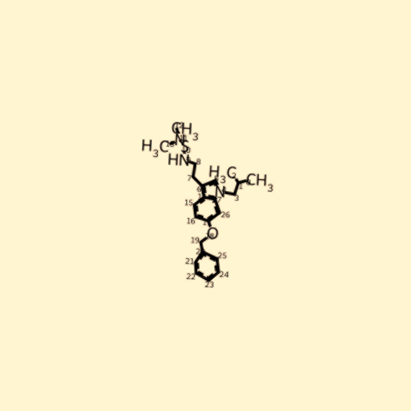 CC(C)Cn1cc(CCNSN(C)C)c2ccc(OCc3ccccc3)cc21